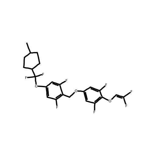 CC1CCC(C(F)(F)Oc2cc(F)c(COc3cc(F)c(OC=C(F)F)c(F)c3)c(F)c2)CC1